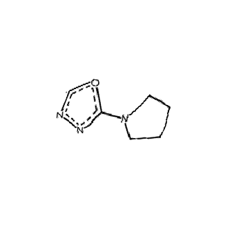 [c]1nnc(N2CCCC2)o1